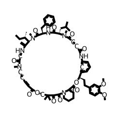 C=C1NCC(=O)N(C)CC/C=C\C(=O)OCC(C)(C)C(=O)C(=O)N2CCCC[C@H]2C(=O)O[C@H](CCc2ccc(OC)c(OC)c2)c2cccc(c2)NC(=O)CCC(=O)N(C)[C@@H](CC(C)C)C(=O)N[C@H](Cc2ccccc2)C(=O)N(C)[C@H]1[C@@H](C)CC